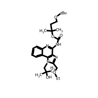 CCOCc1nc2c(NC(=O)OC(C)(C)CCOC(C)(C)C)nc3ccccc3c2n1CC(C)(C)O